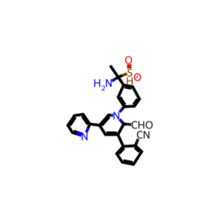 CC(N)(c1cccc(N2C=C(c3ccccn3)C=C(c3ccccc3C#N)C2C=O)c1)[SH](=O)=O